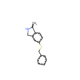 C=C1NCc2cc(SCc3ccccc3)ccc21